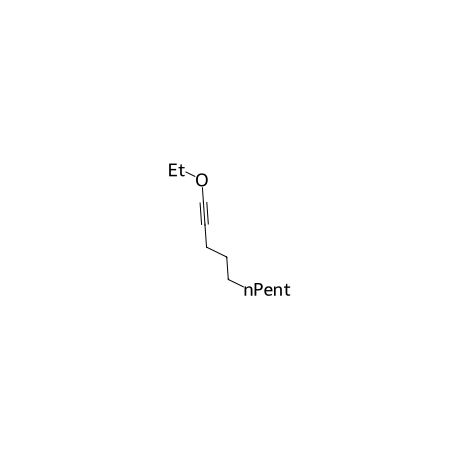 [CH2]COC#CCCCCCCCC